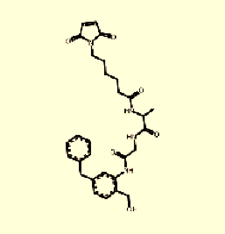 CC(NC(=O)CCCCCN1C(=O)C=CC1=O)C(=O)NCC(=O)Nc1cc(Cc2ccccc2)ccc1CO